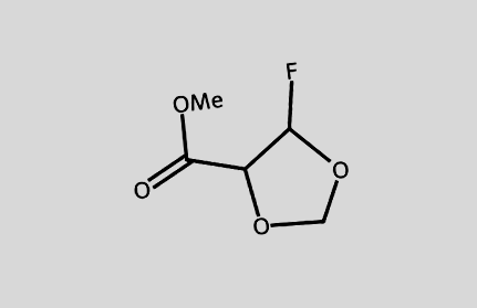 COC(=O)C1OCOC1F